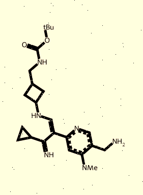 CNc1cc(/C(=C/NC2CC(CNC(=O)OC(C)(C)C)C2)C(=N)C2CC2)ncc1CN